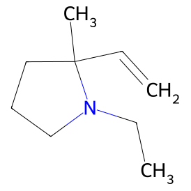 C=CC1(C)CCCN1CC